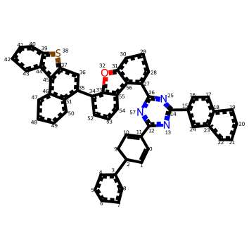 C1=CC(c2ccccc2)CC=C1c1nc(-c2ccc3ccccc3c2)nc(-c2cccc3oc4c(-c5cc6sc7ccccc7c6c6ccccc56)cccc4c23)n1